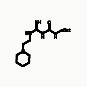 CCCCCCCCNC(=O)NC(=N)NCCN1CCCCC1